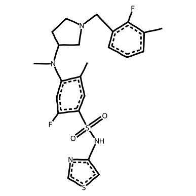 Cc1cc(S(=O)(=O)Nc2cscn2)c(F)cc1N(C)C1CCN(Cc2cccc(C)c2F)C1